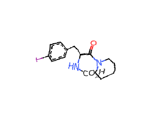 O=C(O)N[C@@H](Cc1ccc(I)cc1)C(=O)N1CCCCC1